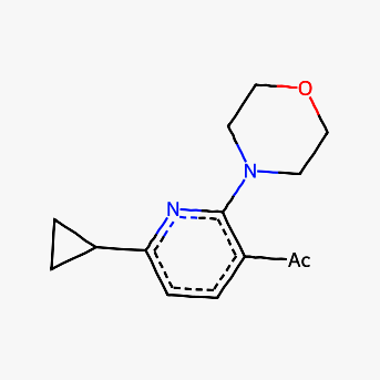 CC(=O)c1ccc(C2CC2)nc1N1CCOCC1